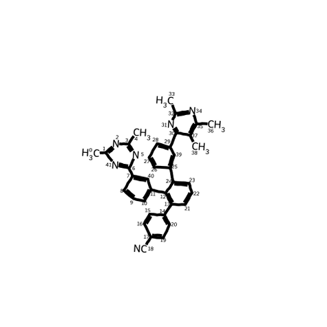 Cc1nc(C)nc(-c2cccc(-c3c(-c4ccc(C#N)cc4)cccc3-c3cccc(-c4nc(C)nc(C)c4C)c3)c2)n1